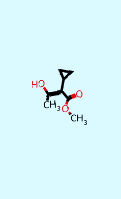 COC(=O)C(=C(C)O)C1CC1